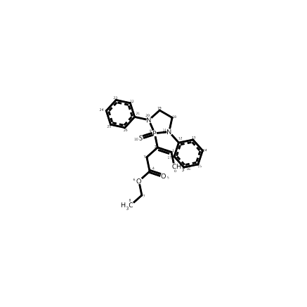 C/C=C(\CC(=O)OCC)P1(=S)N(c2ccccc2)CCN1c1ccccc1